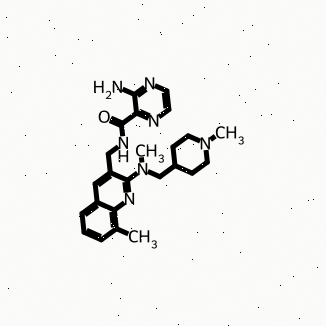 Cc1cccc2cc(CNC(=O)c3nccnc3N)c(N(C)CC3CCN(C)CC3)nc12